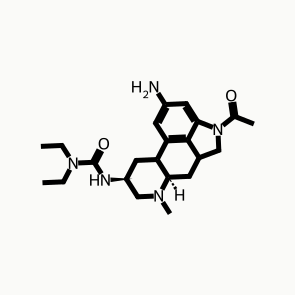 CCN(CC)C(=O)N[C@H]1CC2c3cc(N)cc4c3C(C[C@H]2N(C)C1)CN4C(C)=O